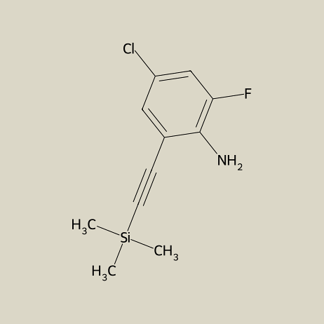 C[Si](C)(C)C#Cc1cc(Cl)cc(F)c1N